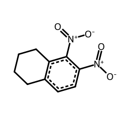 O=[N+]([O-])c1ccc2c(c1[N+](=O)[O-])CCCC2